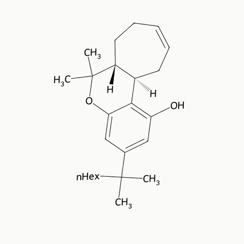 CCCCCCC(C)(C)c1cc(O)c2c(c1)OC(C)(C)[C@@H]1CCC=CC[C@@H]21